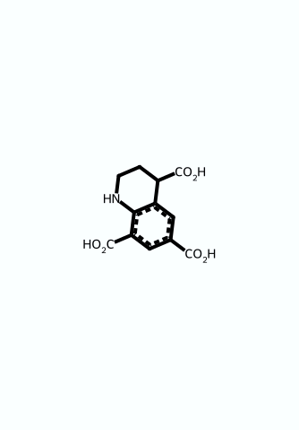 O=C(O)c1cc(C(=O)O)c2c(c1)C(C(=O)O)CCN2